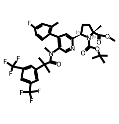 COC(=O)[C@@]1(C)CC[C@H](c2cc(-c3ccc(F)cc3C)c(N(C)C(=O)C(C)(C)c3cc(C(F)(F)F)cc(C(F)(F)F)c3)cn2)N1C(=O)OC(C)(C)C